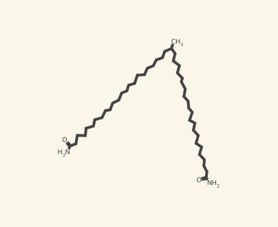 CC(CCCCCCCCCCCCCCCCCCCCCCC(N)=O)CCCCCCCCCCCCCCCCCCCCCC(N)=O